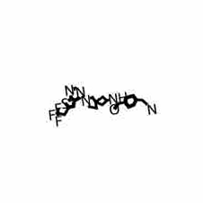 N#CCc1ccc(C(=O)NC2CC3(CCN(c4ncnc5sc(CC(F)(F)F)cc45)C3)C2)cc1